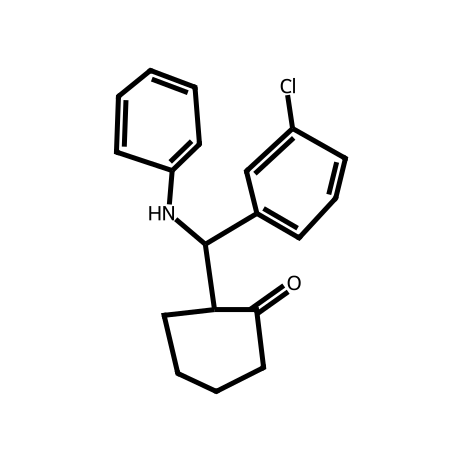 O=C1CCCCC1C(Nc1ccccc1)c1cccc(Cl)c1